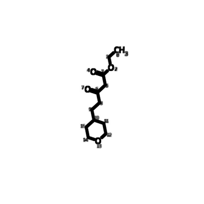 CCOC(=O)CC(=O)CCC1CCOCC1